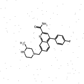 C[C@H]1CN(Cc2ccc3c(-c4ccc(F)cc4)cc(C(N)=O)nc3c2)CCN1